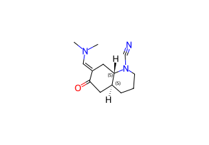 CN(C)C=C1C[C@H]2[C@@H](CCCN2C#N)CC1=O